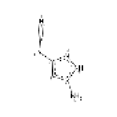 N#CSc1cc(N)[nH]n1